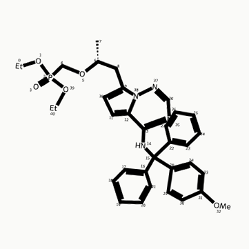 CCOP(=O)(CO[C@H](C)Cc1ccc2c(NC(c3ccccc3)(c3ccccc3)c3ccc(OC)cc3)ncnn12)OCC